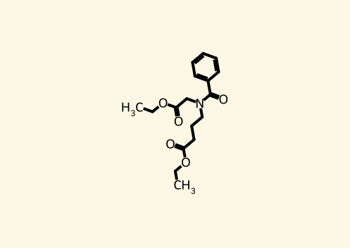 CCOC(=O)CCCN(CC(=O)OCC)C(=O)c1ccccc1